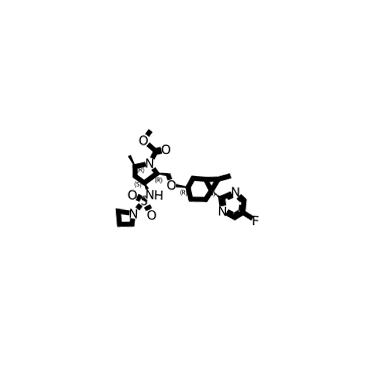 COC(=O)N1[C@H](C)C[C@H](NS(=O)(=O)N2CCC2)[C@@H]1CO[C@@H]1CC[C@]2(c3ncc(F)cn3)C(C)C2C1